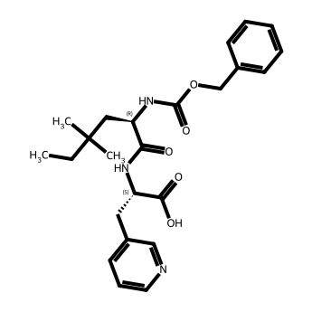 CCC(C)(C)C[C@@H](NC(=O)OCc1ccccc1)C(=O)N[C@@H](Cc1cccnc1)C(=O)O